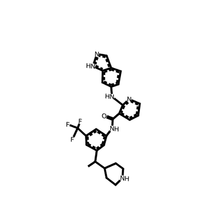 CC(c1cc(NC(=O)c2cccnc2Nc2ccc3cn[nH]c3c2)cc(C(F)(F)F)c1)C1CCNCC1